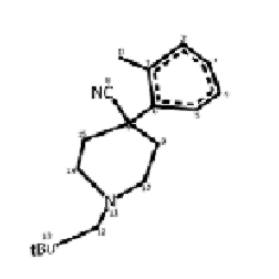 Cc1ccccc1C1(C#N)CCN(CC(C)(C)C)CC1